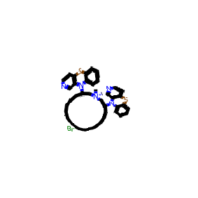 C[N+]1(C)CC(N2c3ccccc3Sc3ccncc32)CCCCCCCCCCCCC(N2c3ccccc3Sc3ccncc32)C1.[Br-]